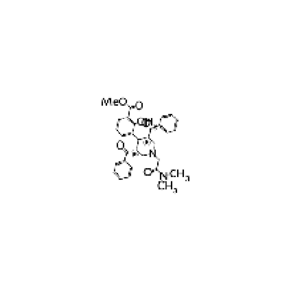 COC(=O)c1cccc(C2[C@@H](C(=O)c3ccccc3)CN(CC(=O)N(C)C)C[C@@H]2C(=O)c2ccccc2)c1C